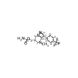 CN1CC(COC(N)=O)Cn2ncc(-c3ccc(C(F)(F)F)cc3)c21